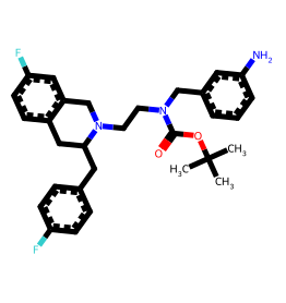 CC(C)(C)OC(=O)N(CCN1Cc2cc(F)ccc2CC1Cc1ccc(F)cc1)Cc1cccc(N)c1